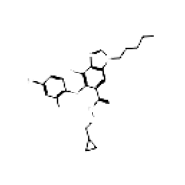 O=C(NOCC1CC1)c1cc2c(ncn2CCCCCl)c(F)c1Nc1ccc(Br)cc1Cl